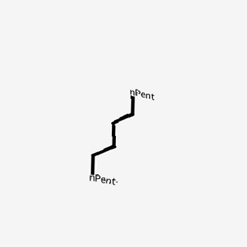 CCCC[CH]CCCCCCCCC